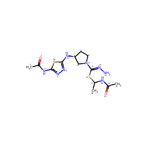 CC(=O)Nc1nnc(N[C@H]2CCN(/C(=N/N)SC(C)NC(C)=O)C2)s1